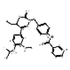 CCC1OC(=O)N(Cc2ccc(NC(=O)c3cccnc3)cc2)N=C1c1ccc(OC(F)F)c(OC)c1